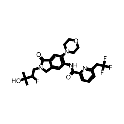 CC(C)(O)C(F)CN1Cc2cc(NC(=O)c3cccc(CC(F)(F)F)n3)c(N3CCOCC3)cc2C1=O